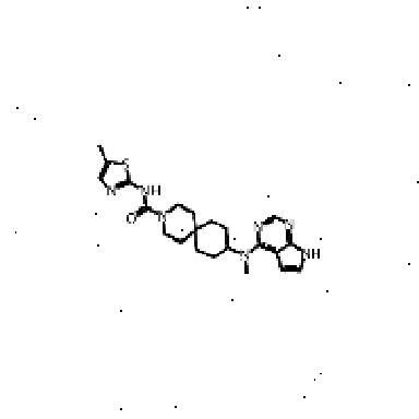 Cc1cnc(NC(=O)N2CCC3(CCC(N(C)c4ncnc5[nH]ccc45)CC3)CC2)s1